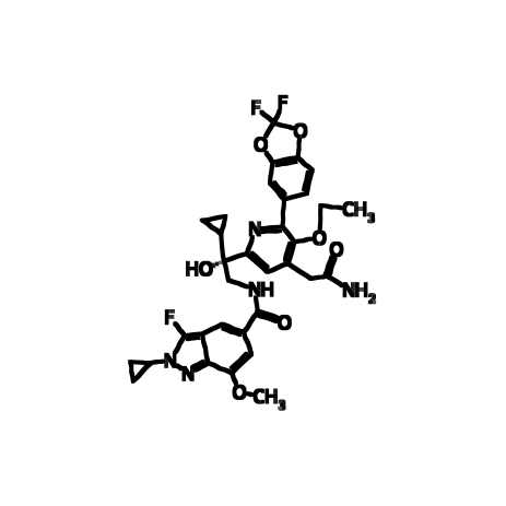 CCOc1c(CC(N)=O)cc([C@@](O)(CNC(=O)c2cc(OC)c3nn(C4CC4)c(F)c3c2)C2CC2)nc1-c1ccc2c(c1)OC(F)(F)O2